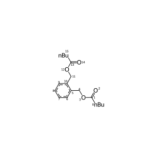 CCCCC(=O)OCc1ccccc1COC(=O)CCCC